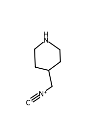 [C-]#[N+]CC1CCNCC1